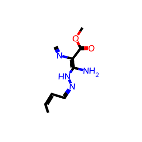 C=N/C(C(=O)OC)=C(/N)N/N=C\C=C/C